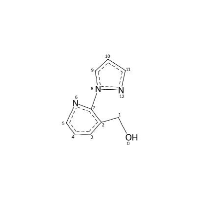 OCc1cccnc1-n1cccn1